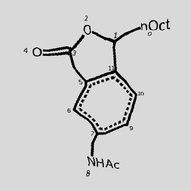 CCCCCCCCC1OC(=O)c2cc(NC(C)=O)ccc21